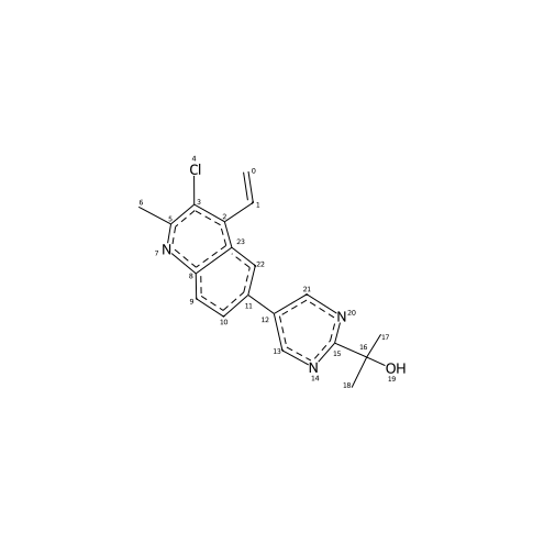 C=Cc1c(Cl)c(C)nc2ccc(-c3cnc(C(C)(C)O)nc3)cc12